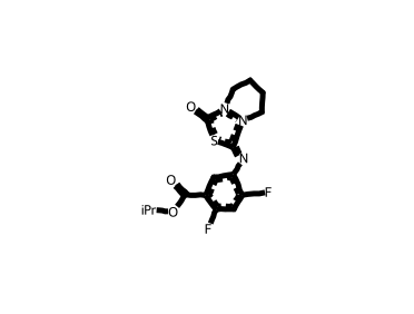 CC(C)OC(=O)c1cc(N=c2sc(=O)n3n2CCCC3)c(F)cc1F